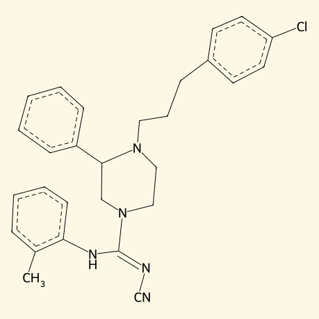 Cc1ccccc1N/C(=N\C#N)N1CCN(CCCc2ccc(Cl)cc2)C(c2ccccc2)C1